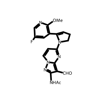 COc1ncc(F)cc1C1=CCCN1c1ccn2nc(NC(C)=O)c(C=O)c2n1